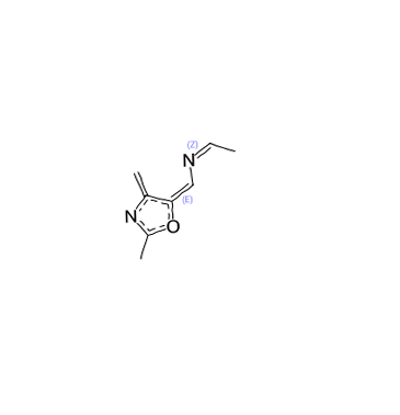 C=c1nc(C)o/c1=C/N=C\C